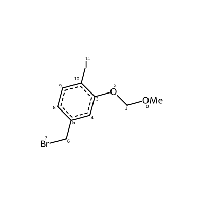 COCOc1cc(CBr)ccc1I